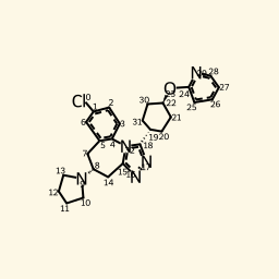 Clc1ccc2c(c1)C[C@@H](N1CCCC1)Cc1nnc([C@H]3CC[C@H](Oc4ccccn4)CC3)n1-2